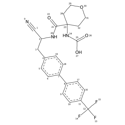 N#CC(Cc1ccc(-c2ccc(C(F)(F)F)cc2)cc1)NC(=O)C1(NC(=O)O)CCOCC1